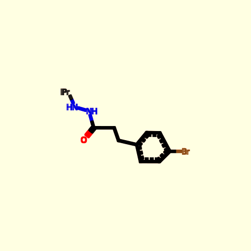 CC(C)NNC(=O)CCc1ccc(Br)cc1